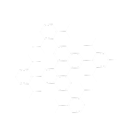 CC(C)c1cccc(C(C)C)c1-c1cc2cc(-c3c(C(C)C)cccc3C(C)C)cc3c4cc(-c5c(C(C)C)cc(O)cc5C(C)C)cc5cc(-c6c(C(C)C)cccc6C(C)C)cc(c(c1)c23)c54